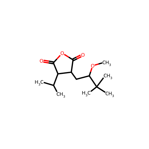 COC(CC1C(=O)OC(=O)C1C(C)C)C(C)(C)C